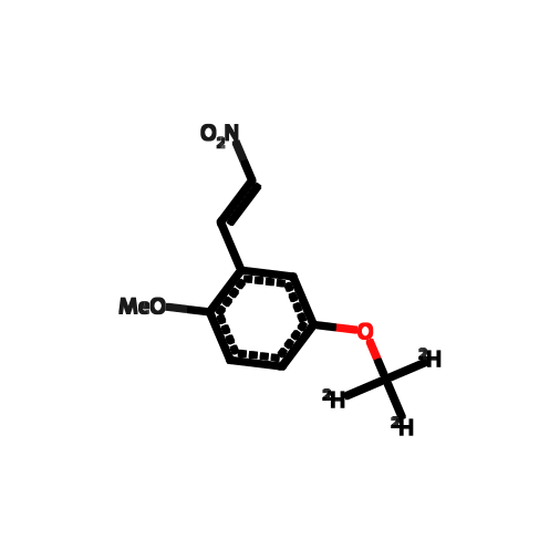 [2H]C([2H])([2H])Oc1ccc(OC)c(/C=C/[N+](=O)[O-])c1